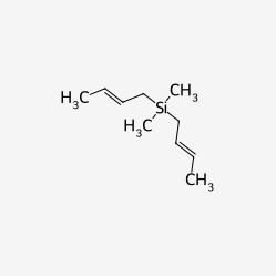 CC=CC[Si](C)(C)CC=CC